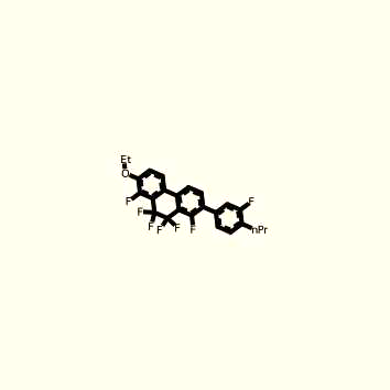 CCCc1ccc(-c2ccc3c(c2F)C(F)(F)C(F)(F)c2c-3ccc(OCC)c2F)cc1F